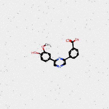 COc1cc(-c2cncc(-c3cccc(C(=O)O)c3)n2)ccc1O